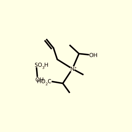 C=CC[N+](C)(C(C)O)C(C)C(=O)O.O=S(=O)(O)O